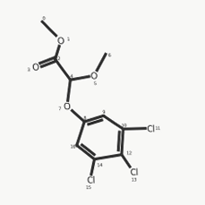 COC(=O)C(OC)Oc1cc(Cl)c(Cl)c(Cl)c1